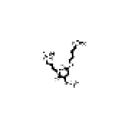 CCCCCCCCCCCCCCOC(=O)CC(C(=O)OCCCO)S(=O)(=O)O.[NaH]